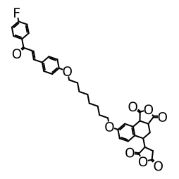 O=C1CC(C2CC3C(=O)OC(=O)C3c3cc(OCCCCCCCCOc4ccc(/C=C/C(=O)c5ccc(F)cc5)cc4)ccc32)C(=O)O1